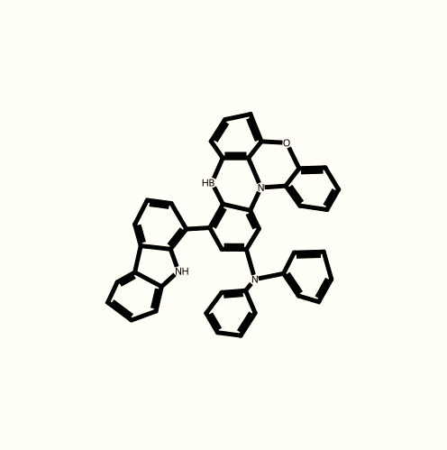 B1c2cccc3c2N(c2ccccc2O3)c2cc(N(c3ccccc3)c3ccccc3)cc(-c3cccc4c3[nH]c3ccccc34)c21